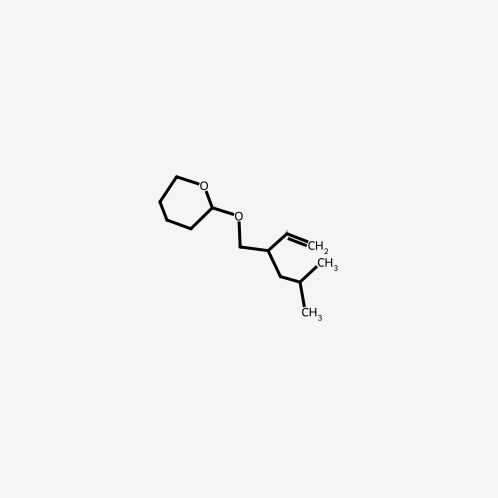 C=[C]C(COC1CCCCO1)CC(C)C